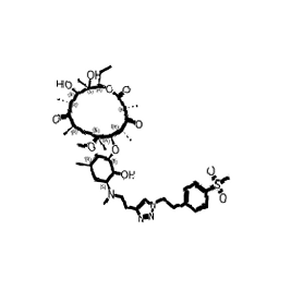 CC[C@H]1OC(=O)[C@H](C)C(=O)[C@H](C)[C@@H](O[C@@H]2C[C@H](C)C[C@H](N(C)CCc3cn(CCc4ccc(S(C)(=O)=O)cc4)nn3)C2O)[C@](C)(OC)C[C@@H](C)C(=O)[C@H](C)[C@@H](O)[C@]1(C)O